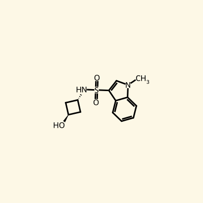 Cn1cc(S(=O)(=O)N[C@H]2C[C@H](O)C2)c2ccccc21